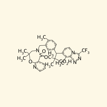 Cc1ccc(C(c2ccn3c(C(F)(F)F)nnc3c2C)C(C)(C)C(=O)O)cc1CN1CC(C)(C)Oc2ncccc2S1(=O)=O